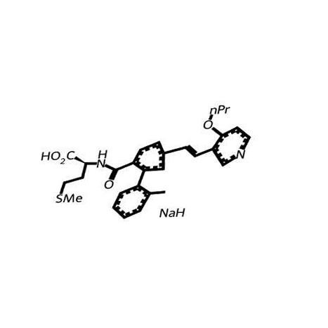 CCCOc1ccncc1C=Cc1ccc(C(=O)N[C@@H](CCSC)C(=O)O)c(-c2ccccc2C)c1.[NaH]